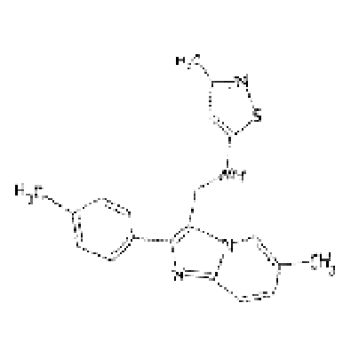 Cc1ccc(-c2nc3ccc(C)cn3c2CNc2cc(C)ns2)cc1